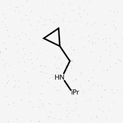 CC(C)N[CH]C1CC1